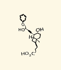 C[C@]12CC[C@@H](O)[C@H](C#CC(O)COc3ccccc3)[C@H]1CC2=CCCC(=O)O